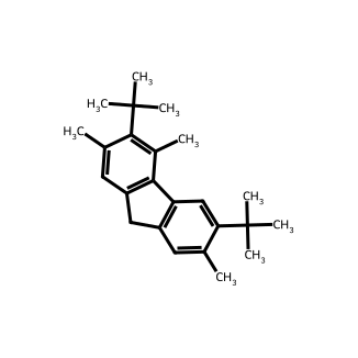 Cc1cc2c(cc1C(C)(C)C)-c1c(cc(C)c(C(C)(C)C)c1C)C2